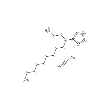 CCCCCCCCCC(CCC)[n+]1cc[nH]c1.N#C[S-]